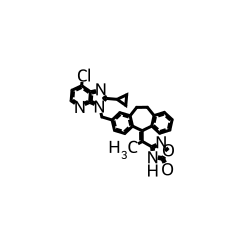 C/C(=C1/c2ccccc2CCc2cc(Cn3c(C4CC4)nc4c(Cl)ccnc43)ccc21)c1noc(=O)[nH]1